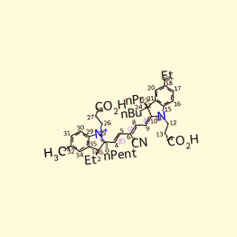 CCCCC[C@@]1(CC)C(/C=C/C(C#N)=C/C=C2/N(CCC(=O)O)c3ccc(CC)cc3C2(CCC)CCCC)=[N+](CCC(=O)O)c2ccc(C)cc21